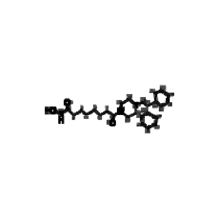 O=C(CCCCCCC(=O)N1CCN(CC(c2ccccc2)c2ccccc2)CC1)NO